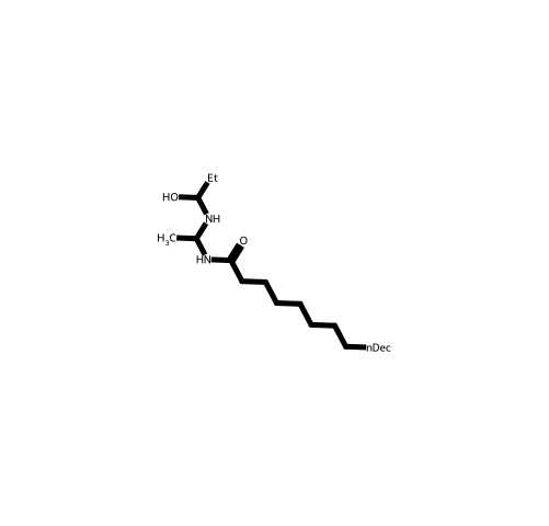 CCCCCCCCCCCCCCCCCC(=O)NC(C)NC(O)CC